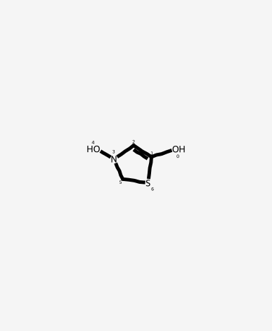 OC1=CN(O)CS1